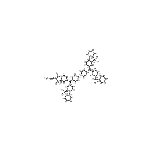 CCC#CC1=C(C)c2ccc(N(c3ccc(-c4ccc(N(c5ccc6c(c5)C(C)(C)C5=CC=CCC56)c5ccc6c(c5)C(C)(C)c5ccccc5-6)cc4)cc3)c3ccc4c(c3)C(C)(C)c3ccccc3-4)cc2C1(C)C